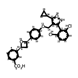 O=C(O)c1cccc([C@@H]2C[C@H](c3ccc(OCc4c(-c5c(Cl)cccc5Cl)noc4C4CC4)cc3)O2)c1